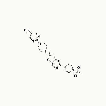 CS(=O)(=O)N1CC=C(c2cc3c(cn2)OC2(C3)CC3(CCN(c4ncc(C(F)(F)F)cn4)CC3)C2)CC1